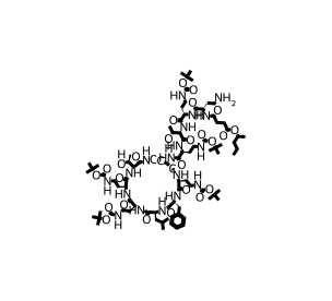 CCCC(C)OC(=O)CCC(=O)N[C@@H](CCN)C(=O)N[C@@H](CCNC(=O)OC(C)(C)C)C(=O)N[C@H](C(=O)N[C@@H](CCNC(=O)OC(C)(C)C)C(=O)N[C@H]1CCNC(=O)[C@H]([C@H](C)O)NC(=O)[C@H](CCNC(=O)OC(C)(C)C)NC(=O)[C@H](CCNC(=O)OC(C)(C)C)NC(=O)[C@H](CC(C)C)NC(=O)[C@@H](Cc2ccccc2)NC(=O)[C@H](CCNC(=O)OC(C)(C)C)NC1)C(C)O